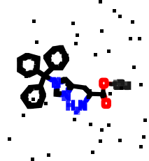 CC(C)(C)OC(=O)C(N)Cc1cn(C(c2ccccc2)(c2ccccc2)c2ccccc2)cn1